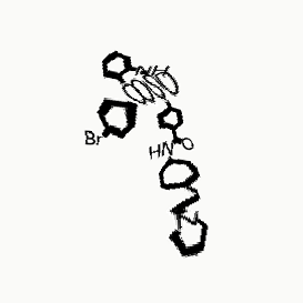 O=C(N[C@H]1CC[C@H](CCN2CCCC2)CC1)c1ccc(S(=O)(=O)Nc2ccccc2Oc2ccc(Br)cc2)cc1